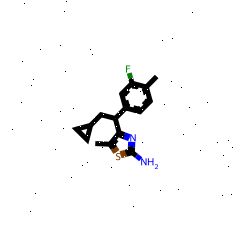 Cc1ccc(C(CC2CC2)c2nc(N)sc2C)cc1F